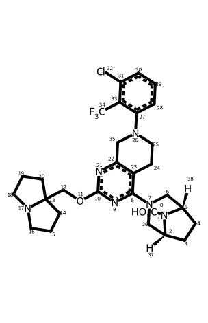 O=C(O)N1[C@@H]2CC[C@H]1CN(c1nc(OCC34CCCN3CCC4)nc3c1CCN(c1cccc(Cl)c1C(F)(F)F)C3)C2